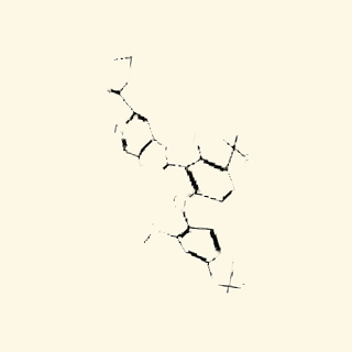 COc1cc(OC(F)(F)F)ccc1Oc1ccc(C(F)(F)F)c(F)c1C(=O)Nc1cc(C(=O)OC(C)C)ncc1F